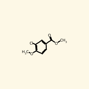 COC(=O)c1ccc(OC)c(Cl)c1